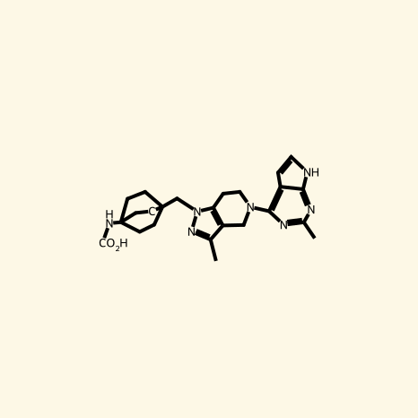 Cc1nc(N2CCc3c(c(C)nn3CC34CCC(NC(=O)O)(CC3)CC4)C2)c2cc[nH]c2n1